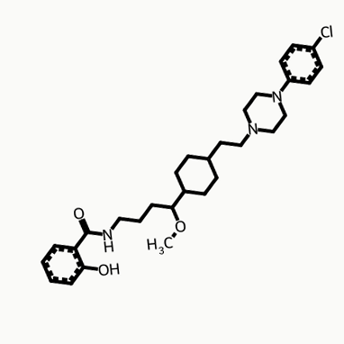 COC(CCCNC(=O)c1ccccc1O)C1CCC(CCN2CCN(c3ccc(Cl)cc3)CC2)CC1